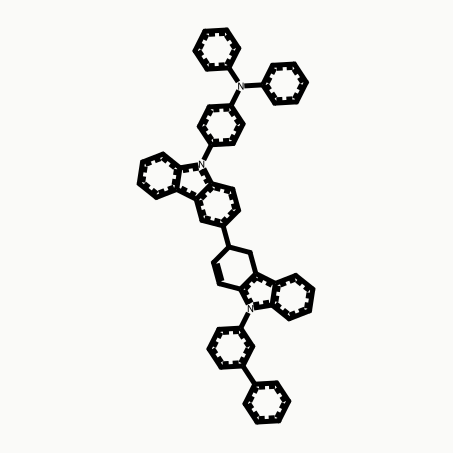 C1=CC(c2ccc3c(c2)c2ccccc2n3-c2ccc(N(c3ccccc3)c3ccccc3)cc2)Cc2c1n(-c1cccc(-c3ccccc3)c1)c1ccccc21